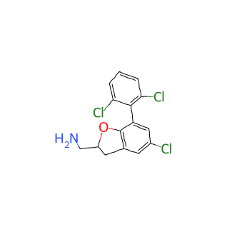 NCC1Cc2cc(Cl)cc(-c3c(Cl)cccc3Cl)c2O1